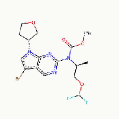 C[C@@H](COC(F)F)N(C(=O)OC(C)(C)C)c1ncc2c(Br)cn([C@@H]3CCOC3)c2n1